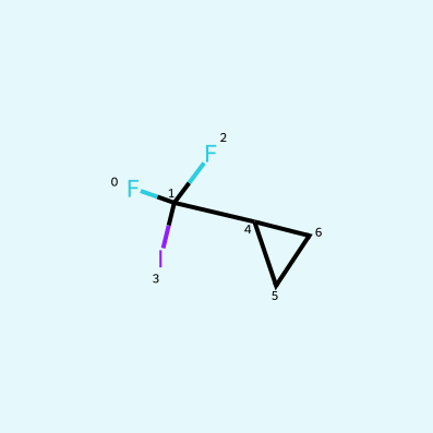 FC(F)(I)C1CC1